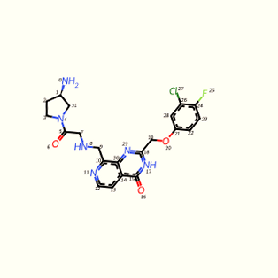 N[C@@H]1CCN(C(=O)CNCc2nccc3c(=O)[nH]c(COc4ccc(F)c(Cl)c4)nc23)C1